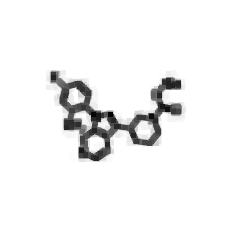 CC(C)(C)OC(=O)N1CCCC(c2cn(-c3ccc(F)cc3N)c3cnccc23)C1